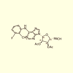 C#C[C@H]1O[C@@H](n2cnc3c(Nc4cccc(F)c4C)ncnc32)[C@H](OC(C)=O)[C@@H]1OC(C)=O